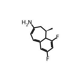 C[C@@H]1CC(N)=CC=C2C=C(F)C=C(F)C21